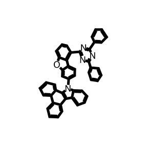 c1ccc(-c2nc(-c3ccccc3)nc(-c3cccc4oc5cc(-n6c7ccccc7c7c8ccccc8c8ccccc8c76)ccc5c34)n2)cc1